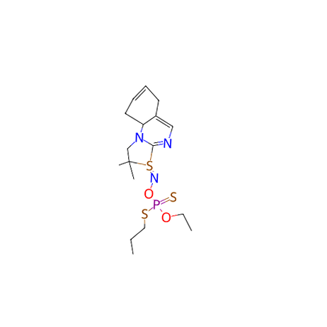 CCCSP(=S)(OCC)ON=S1C2=NC=C3CC=CCC3N2CC1(C)C